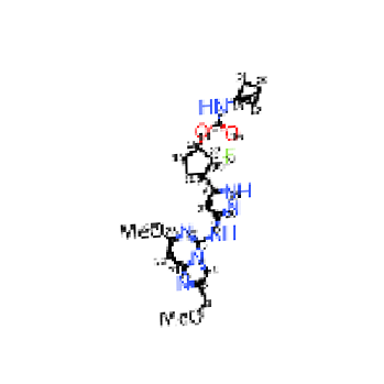 COCc1cn2c(Nc3cc([C@H]4CC[C@@H](OC(=O)NC56CC(C5)C6)[C@@H]4F)[nH]n3)nc(OC)cc2n1